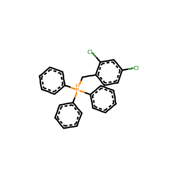 Clc1ccc(C[PH](c2ccccc2)(c2ccccc2)c2ccccc2)c(Cl)c1